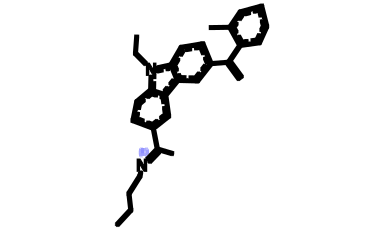 C=C(c1ccc2c(c1)c1cc(/C(C)=N/CCCC)ccc1n2CC)c1ccccc1C